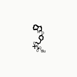 CC(C)(C)OC(=O)N1C(Cc2ccc(Oc3ccc4ccccc4n3)cc2)COC1(C)C